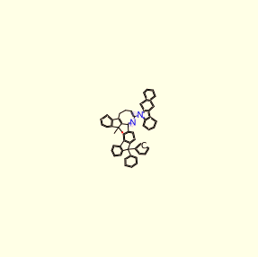 CC1(C)C2=C(CC/C=C(n3c4ccccc4c4cc5ccccc5cc43)\N=C/2c2ccc3c(c2)-c2ccccc2C3(c2ccccc2)c2ccccc2)c2ccccc21